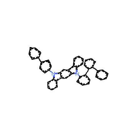 c1ccc(-c2ccc(-n3c4ccccc4c4cc5c(cc43)c3ccccc3n5-c3ccccc3-c3ccccc3-c3ccccc3)cc2)cc1